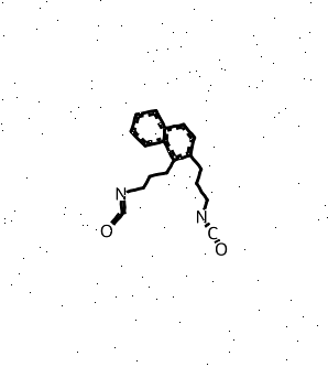 O=C=NCCCc1ccc2ccccc2c1CCCN=C=O